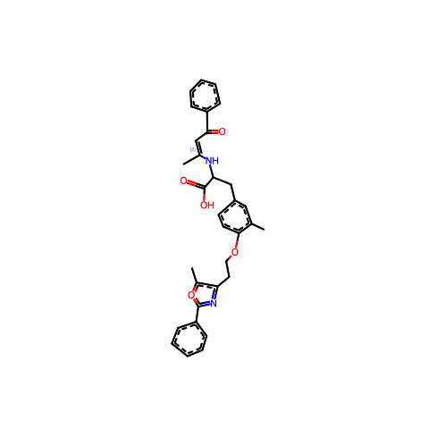 C/C(=C/C(=O)c1ccccc1)NC(Cc1ccc(OCCc2nc(-c3ccccc3)oc2C)c(C)c1)C(=O)O